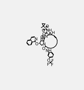 CC1(S(=O)(=O)NC(=O)[C@@]23C[C@H]2/C=C\CCCCC[C@H](Nc2cccc(OC(F)(F)F)c2)C(=O)N2C[C@H](Oc4nccc5ccccc45)C[C@H]2C(=O)N3)CC1